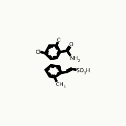 Cc1ccccc1/C=C/S(=O)(=O)O.NC(=O)c1ccc(Cl)cc1Cl